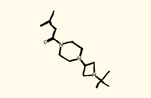 CC(C)CC(=O)N1CCN(C2CN(C(C)(C)C)C2)CC1